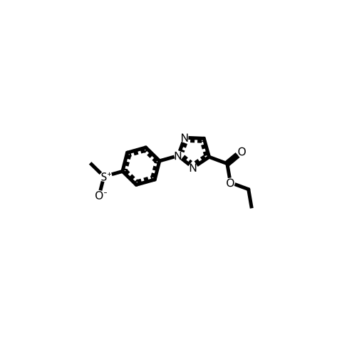 CCOC(=O)c1cnn(-c2ccc([S+](C)[O-])cc2)n1